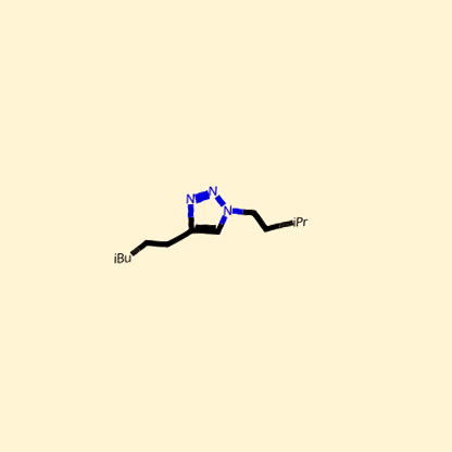 CCC(C)CCc1cn(CCC(C)C)nn1